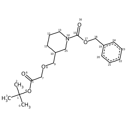 CC(C)(C)OC(=O)COCC1CCCN(C(=O)OCc2ccccc2)C1